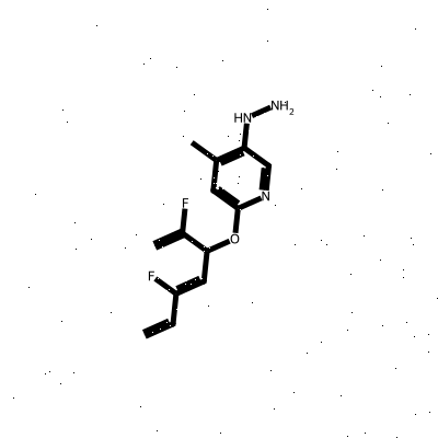 C=CC(F)=CC(Oc1cc(C)c(NN)cn1)C(=C)F